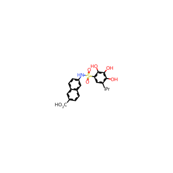 CC(C)c1cc(S(=O)(=O)Nc2ccc3cc(C(=O)O)ccc3c2)c(O)c(O)c1O